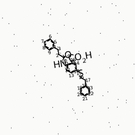 O=C(CCc1ccccc1)Nc1ccc(SCCc2ccccc2)cc1C(=O)O